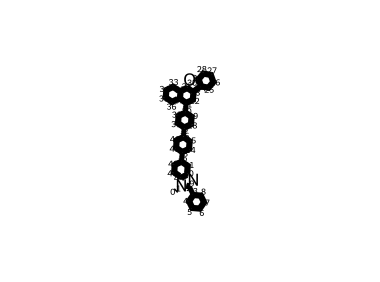 Cn1c(-c2ccccc2)nc2cc(-c3ccc(-c4ccc(-c5cc6c7ccccc7oc6c6ccccc56)cc4)cc3)ccc21